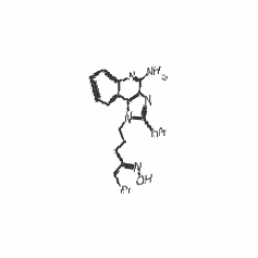 CCCc1nc2c(N)nc3ccccc3c2n1CCCC(CC(C)C)=NO